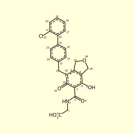 O=C(O)CNC(=O)c1c(O)c2c(n(Cc3ccc(-c4ccccc4Cl)cc3)c1=O)COC2